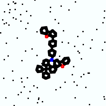 c1ccc(C2(c3ccccc3)c3ccccc3-c3c(N(c4ccc(-c5ccc(-c6cccc7c6oc6ccccc67)cc5)cc4)c4ccc5oc6ccccc6c5c4)cccc32)cc1